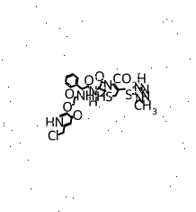 Cn1nnnc1SCC1=C(C(=O)O)N2C(=O)C(NC(=O)C(NC(=O)COc3c[nH]c(CCl)cc3=O)c3ccccc3)[C@H]2SC1